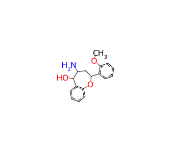 COc1ccccc1C1CC(N)C(O)c2ccccc2O1